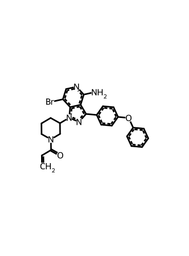 C=CC(=O)N1CCCC(n2nc(-c3ccc(Oc4ccccc4)cc3)c3c(N)ncc(Br)c32)C1